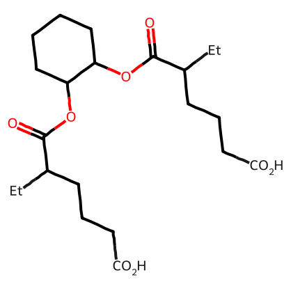 CCC(CCCC(=O)O)C(=O)OC1CCCCC1OC(=O)C(CC)CCCC(=O)O